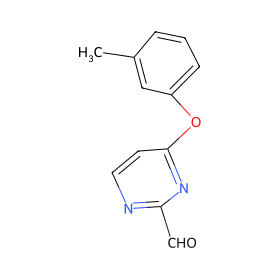 Cc1cccc(Oc2ccnc(C=O)n2)c1